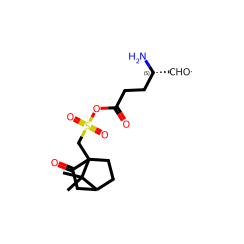 CC1(C)C2CCC1(CS(=O)(=O)OC(=O)CC[C@H](N)[C]=O)C(=O)C2